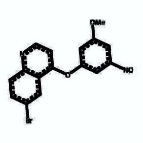 COc1cc(N=O)cc(Oc2ccnc3ccc(Br)cc23)c1